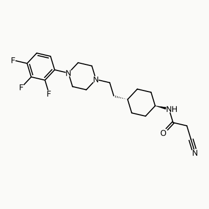 N#CCC(=O)N[C@H]1CC[C@H](CCN2CCN(c3ccc(F)c(F)c3F)CC2)CC1